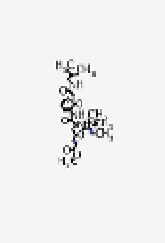 C=CN(C)/C(=C\C)C(=O)N[C@@H](CC/C=C/C(=O)OC)C(=O)Nc1cccn(CC(=O)NCC(CC)CC)c1=O